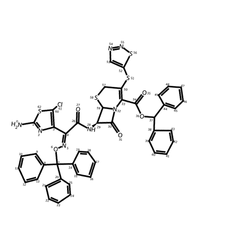 Nc1nc(C(=NOC(c2ccccc2)(c2ccccc2)c2ccccc2)C(=O)N[C@@H]2C(=O)N3C(C(=O)OC(c4ccccc4)c4ccccc4)=C(Sc4cnns4)CSC23)c(Cl)s1